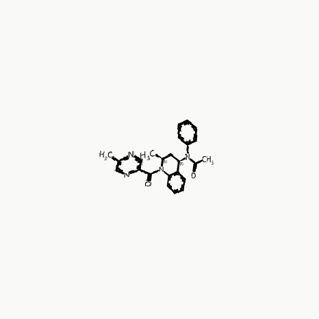 CC(=O)N(c1ccccc1)[C@@H]1C[C@H](C)N(C(=O)c2cnc(C)cn2)c2ccccc21